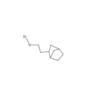 CCOCCC1CC2CCC1C2